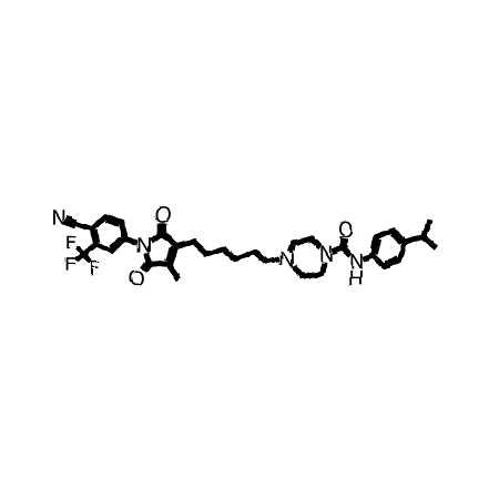 CC1=C(CCCCCCN2CCN(C(=O)Nc3ccc(C(C)C)cc3)CC2)C(=O)N(c2ccc(C#N)c(C(F)(F)F)c2)C1=O